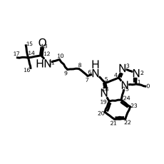 Cc1nnc2c(NCCCCNC(=O)C(C)(C)C)nc3ccccc3n12